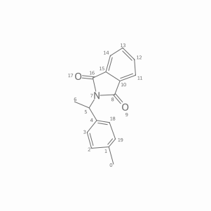 Cc1ccc(C(C)N2C(=O)c3ccccc3C2=O)cc1